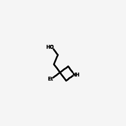 CCC1(CCO)CNC1